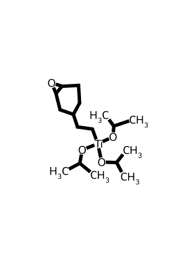 CC(C)[O][Ti]([CH2]CC1CCC2OC2C1)([O]C(C)C)[O]C(C)C